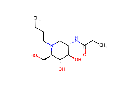 CCCCN1C[C@H](NC(=O)CC)[C@@H](O)[C@H](O)[C@H]1CO